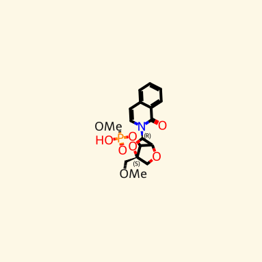 COC[C@]12COC(C1OP(=O)(O)OC)[C@H](n1ccc3ccccc3c1=O)O2